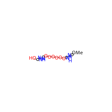 COc1ccc2[nH]c(-c3ccc(OCCOCCOCCOCCOCCOc4ccc(-c5nc6cc(CO)ccc6[nH]5)nc4)cn3)nc2c1